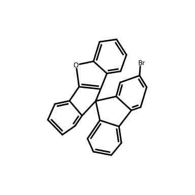 Brc1ccc2c(c1)C1(c3ccccc3-2)c2ccccc2-c2oc3ccccc3c21